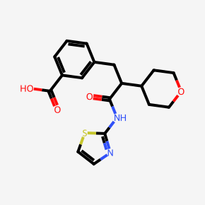 O=C(O)c1cccc(CC(C(=O)Nc2nccs2)C2CCOCC2)c1